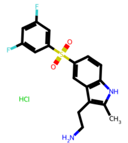 Cc1[nH]c2ccc(S(=O)(=O)c3cc(F)cc(F)c3)cc2c1CCN.Cl